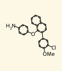 COc1ccc(-c2ccc3ccccc3c2Oc2ccc(N)cc2)cc1Cl